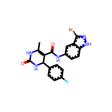 CC1=C(C(=O)Nc2ccc3[nH]nc(Br)c3c2)C(c2ccc(F)cc2)NC(=O)N1